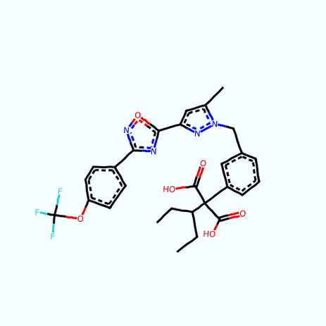 CCC(CC)C(C(=O)O)(C(=O)O)c1cccc(Cn2nc(-c3nc(-c4ccc(OC(F)(F)F)cc4)no3)cc2C)c1